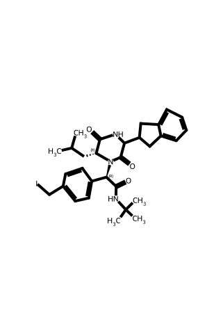 CC(C)C[C@@H]1C(=O)NC(C2Cc3ccccc3C2)C(=O)N1[C@@H](C(=O)NC(C)(C)C)c1ccc(CI)cc1